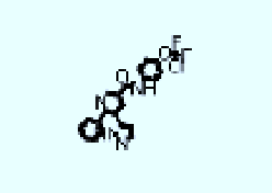 O=C(Nc1ccc(OC(F)(F)Cl)cc1)c1cnc(-c2ccccc2)c(-c2ccn[nH]2)c1